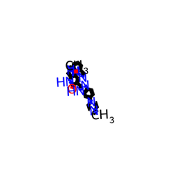 CN1CCN(c2ccc3nc(-c4c(/N=C\c5ccccn5)c5nn(C)cc5[nH]c4=O)[nH]c3c2)CC1